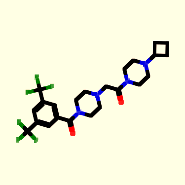 O=C(CN1CCN(C(=O)c2cc(C(F)(F)F)cc(C(F)(F)F)c2)CC1)N1CCN(C2CCC2)CC1